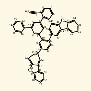 N#Cc1ccccc1-c1cc(-c2ccccc2)cc(-c2cc(-c3ccc4oc5ccccc5c4c3)ccc2-c2ccc3oc4ccccc4c3c2)c1